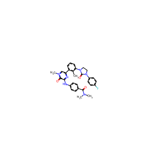 Cc1c(-c2cn(C)c(=O)c(Nc3ccc(C(=O)N(C)C)cc3)n2)cccc1N1CCN(c2ccc(F)cc2)C1=O